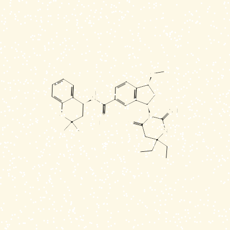 CCC1(CC)CC(=O)N([C@@H]2C[C@H](OC)c3ccc(C(=O)N[C@@H]4c5ccccc5OC(C)(C)[C@H]4O)cc32)C(=N)N1